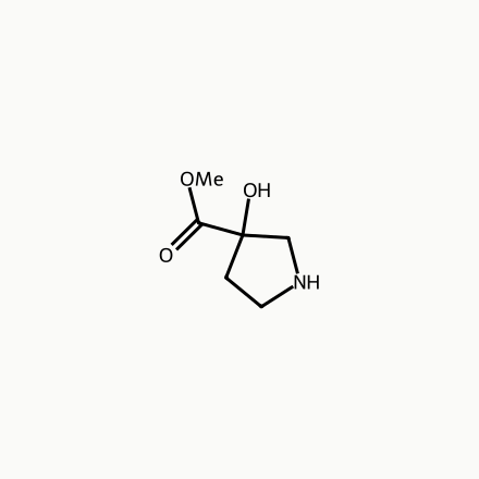 COC(=O)C1(O)CCNC1